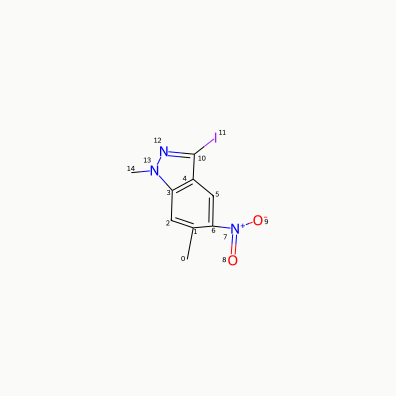 Cc1cc2c(cc1[N+](=O)[O-])c(I)nn2C